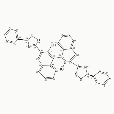 Oc1c(C2=N[C@@H](c3ccccc3)CO2)cc2ccccc2c1-c1c(O)c(C2=N[C@@H](c3ccccc3)CO2)cc2ccccc12